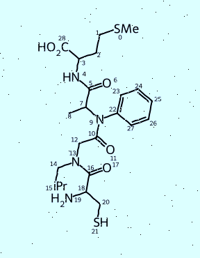 CSCCC(NC(=O)C(C)N(C(=O)CN(CC(C)C)C(=O)C(N)CS)c1ccccc1)C(=O)O